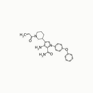 C=CC(=O)N1CCCC(c2cn(-c3ccc(Oc4ccccc4)cc3)c(C(N)=O)c2N)C1